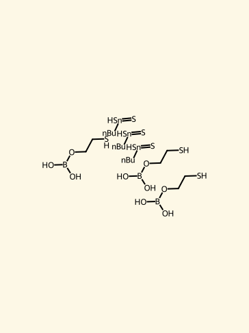 CCC[CH2][SnH]=[S].CCC[CH2][SnH]=[S].CCC[CH2][SnH]=[S].OB(O)OCCS.OB(O)OCCS.OB(O)OCCS